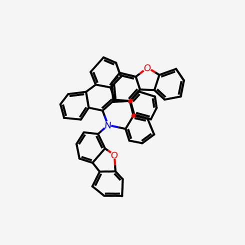 c1ccc(-c2c(N(c3ccccc3-c3cccc4oc5ccccc5c34)c3cccc4c3oc3ccccc34)c3ccccc3c3ccccc23)cc1